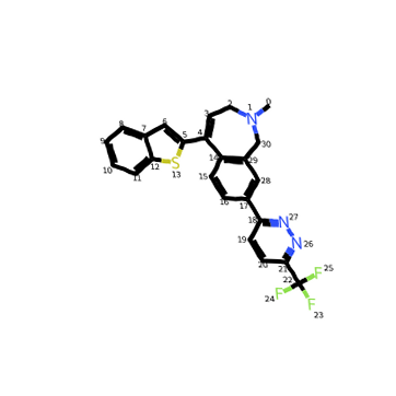 CN1CC=C(c2cc3ccccc3s2)c2ccc(-c3ccc(C(F)(F)F)nn3)cc2C1